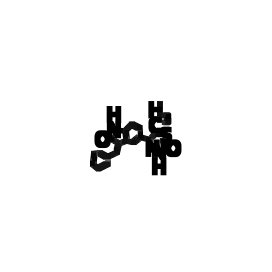 CC1SC(=O)NN=C1c1ccc2c(c1)C(=Cc1ccccc1)C(=O)N2